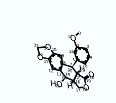 COc1cccc([C@@H]2c3cc4c(cc3[C@H](O)[C@H]3COC(=O)[C@@H]23)OCO4)c1